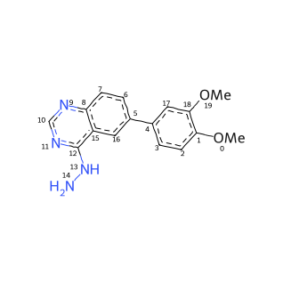 COc1ccc(-c2ccc3ncnc(NN)c3c2)cc1OC